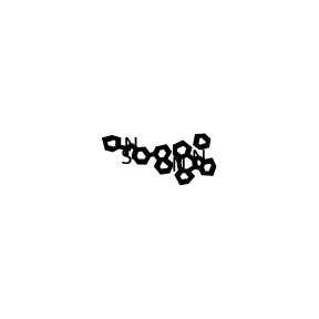 c1ccc(-c2nc3cc(-c4cccc5c(N6c7ccccc7-c7c(n(-c8ccccc8)c8ccccc78)-c7ccccc76)cccc45)ccc3s2)cc1